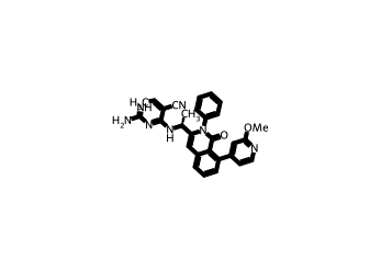 C/C=C(C#N)\C(=N/C(=N)N)N[C@@H](C)c1cc2cccc(-c3ccnc(OC)c3)c2c(=O)n1-c1ccccc1